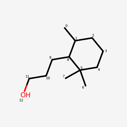 CC1CCCC(C)(C)C1CCCO